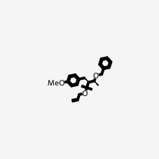 C=CCOC(C)(C)[C@@H](Cc1ccc(OC)cc1)[C@H](C)OCc1ccccc1